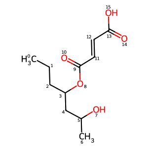 CCCC(CC(C)O)OC(=O)C=CC(=O)O